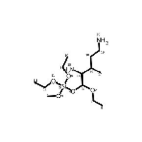 CCOC(O[Si](OC)(OCC)OCC)C(N)C(C)CCN